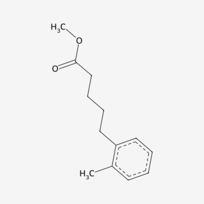 COC(=O)CCCCc1ccccc1C